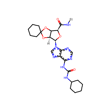 CCNC(=O)[C@H]1O[C@@H](n2cnc3c(NC(=O)NC4CCCCC4)ncnc32)[C@H]2OC3(CCCCC3)OC12